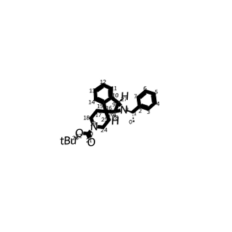 C[C@@H](c1ccccc1)[N@]1[C@@H]2c3ccccc3C3(CCN(C(=O)OC(C)(C)C)CC3)[C@@H]21